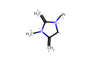 C=C1CN(C(C)C)C(=C)N1C